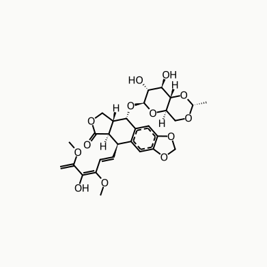 C=C(OC)/C(O)=C(\C=C\[C@@H]1c2cc3c(cc2[C@@H](O[C@@H]2O[C@@H]4CO[C@@H](C)O[C@H]4[C@H](O)[C@H]2O)[C@H]2COC(=O)[C@@H]21)OCO3)OC